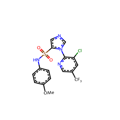 COc1ccc(NS(=O)(=O)c2cncn2-c2ncc(C(F)(F)F)cc2Cl)cc1